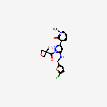 Cn1cccc(-c2cc(NCc3ccc(Cl)s3)n(C(=O)C3(C)COC3)n2)c1=O